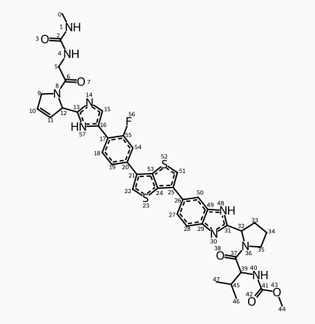 CNC(=O)NCC(=O)N1CC=CC1c1ncc(-c2ccc(-c3csc4c(-c5ccc6nc(C7CCCN7C(=O)C(NC(=O)OC)C(C)C)[nH]c6c5)csc34)cc2F)[nH]1